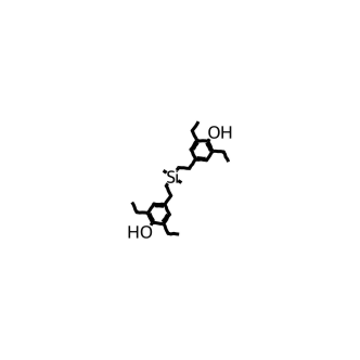 CCc1cc(CC[Si](C)(C)CCc2cc(CC)c(O)c(CC)c2)cc(CC)c1O